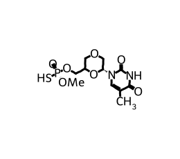 COP(=O)(S)OCC1COC[C@H](n2cc(C)c(=O)[nH]c2=O)O1